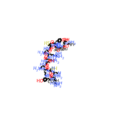 CC[C@H](C)[C@H](NC(=O)[C@@H](NC(=O)[C@@H]1C[C@@H](O)CN1C(=O)[C@@H](N)C(C)C)[C@@H](C)CC)C(=O)N[C@@H](Cc1ccc(O)cc1)C(=O)N[C@H](C(=O)N[C@@H](CC(N)=O)C(=O)N[C@@H](CCCNC(=N)N)C(=O)N[C@@H](CCN)C(=O)N[C@H](C(=O)N[C@H](CCN)C(=O)N[C@@H](CCCN)C(=O)N[C@@H](CS)C(=O)N[C@@H](CCN)C(=O)N[C@@H](CCCNC(=N)N)C(=O)N[C@@H](Cc1ccc(O)cc1)C(=O)O)[C@@H](C)O)C(C)(C)S